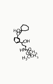 CC(C)(C)OC(=O)NCCC(O)c1cccc(OCC2(O)CCCCCC2)c1